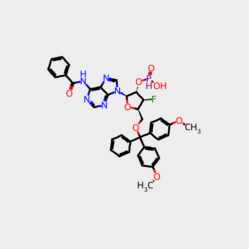 COc1ccc(C(OC[C@H]2O[C@@H](n3cnc4c(NC(=O)c5ccccc5)ncnc43)[C@H](O[PH](=O)O)[C@H]2F)(c2ccccc2)c2ccc(OC)cc2)cc1